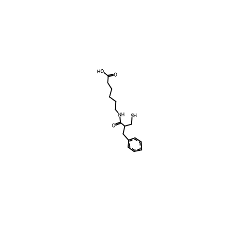 O=C(O)CCCCCNC(=O)C(CS)Cc1ccccc1